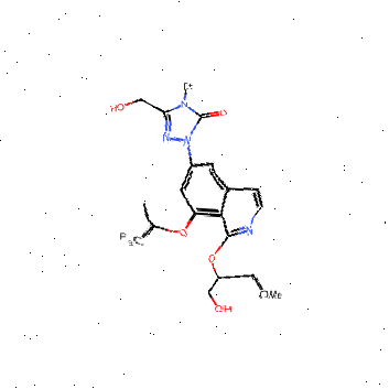 CCn1c(CO)nn(-c2cc(OC(C)C(F)(F)F)c3c(OC(CO)COC)nccc3c2)c1=O